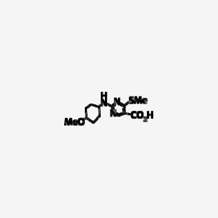 COC1CCC(Nc2ncc(C(=O)O)c(SC)n2)CC1